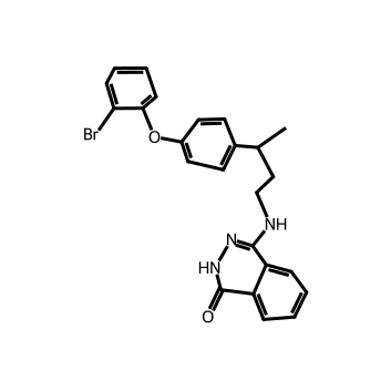 CC(CCNc1n[nH]c(=O)c2ccccc12)c1ccc(Oc2ccccc2Br)cc1